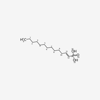 CCCCCCCCCCC/C=C/P(=O)(O)O